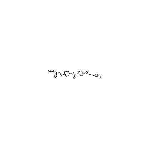 C=CCCOc1ccc(C(=O)Oc2ccc(/C=C/C(=O)OC)cc2)cc1